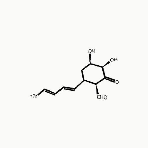 CCC/C=C/C=C/C1C[C@@H](O)[C@@H](O)C(=O)[C@H]1C=O